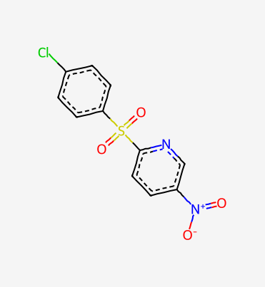 O=[N+]([O-])c1ccc(S(=O)(=O)c2ccc(Cl)cc2)nc1